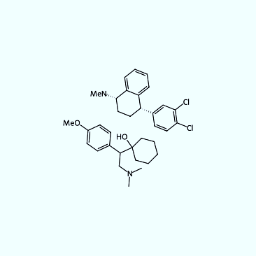 CN[C@H]1CC[C@@H](c2ccc(Cl)c(Cl)c2)c2ccccc21.COc1ccc(C(CN(C)C)C2(O)CCCCC2)cc1